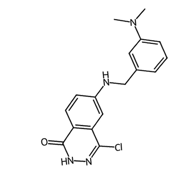 CN(C)c1cccc(CNc2ccc3c(=O)[nH]nc(Cl)c3c2)c1